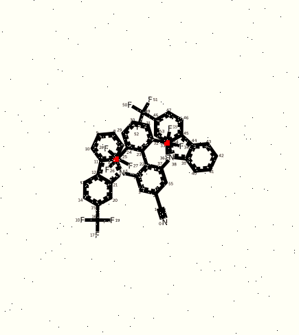 N#Cc1cc(-n2c3ccccc3c3ccc(C(F)(F)F)cc32)c(-c2c(C(F)(F)F)cccc2C(F)(F)F)c(-n2c3ccccc3c3ccc(C(F)(F)F)cc32)c1